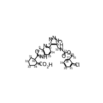 Cc1nc(-c2nnn(C)c2CNC(=O)O[C@H](C)c2ccccc2Cl)ccc1NC(=O)C1CCCCC1C(=O)O